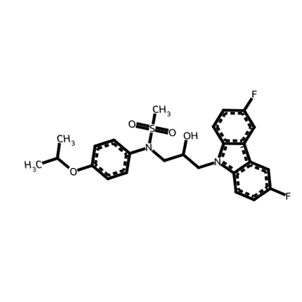 CC(C)Oc1ccc(N(CC(O)Cn2c3ccc(F)cc3c3cc(F)ccc32)S(C)(=O)=O)cc1